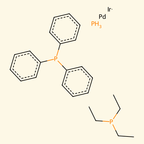 CCP(CC)CC.P.[Ir].[Pd].c1ccc(P(c2ccccc2)c2ccccc2)cc1